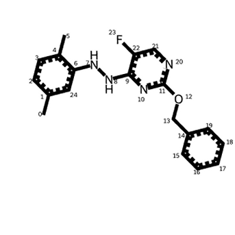 Cc1ccc(C)c(NNc2nc(OCc3ccccc3)ncc2F)c1